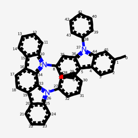 Cc1ccc2c3ccc(-n4c5ccccc5c5ccc6c7ccccc7n(-c7ccccc7)c6c54)cc3n(-c3ccccc3)c2c1